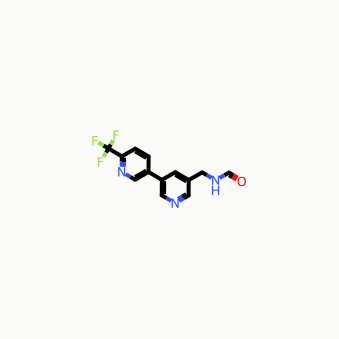 O=CNCc1cncc(-c2ccc(C(F)(F)F)nc2)c1